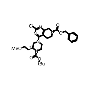 COCC[C@H]1CN(c2nc(Cl)nc3c2CCN(C(=O)OCc2ccccc2)C3)CCN1C(=O)OC(C)(C)C